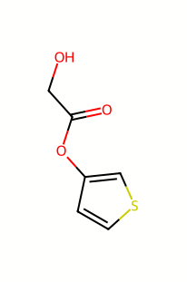 O=C(CO)Oc1ccsc1